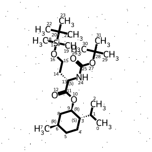 CC(C)[C@@H]1CC[C@@H](C)C[C@H]1OC(=O)[C@H](CCO[Si](C)(C)C(C)(C)C)NC(=O)OC(C)(C)C